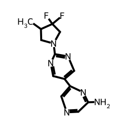 CC1CN(c2ncc(-c3cncc(N)n3)cn2)CC1(F)F